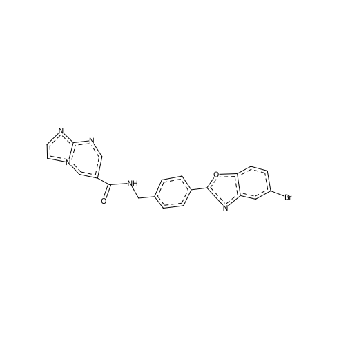 O=C(NCc1ccc(-c2nc3cc(Br)ccc3o2)cc1)c1cnc2nccn2c1